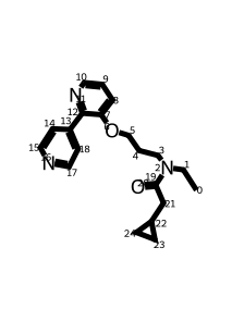 CCN(CCCOc1cccnc1-c1ccncc1)C(=O)CC1CC1